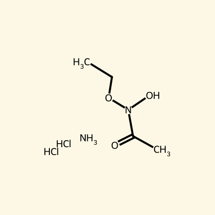 CCON(O)C(C)=O.Cl.Cl.N